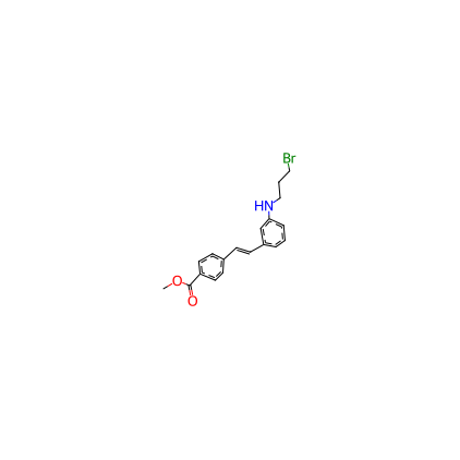 COC(=O)c1ccc(C=Cc2cccc(NCCCBr)c2)cc1